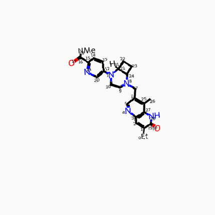 CCc1cc2ncc(CN3CCN(c4ccc(C(=O)NC)nc4)[C@@H]4CCC43)c(C)c2[nH]c1=O